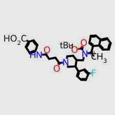 C[C@H](c1cccc2ccccc12)N(CC1CCN(C(=O)CCC(=O)Nc2ccc(C(=O)O)cc2)CC1c1cccc(F)c1)C(=O)OC(C)(C)C